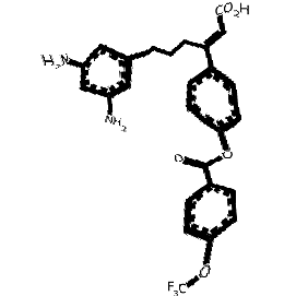 Nc1cc(N)cc(CCC/C(=C\C(=O)O)c2ccc(OC(=O)c3ccc(OC(F)(F)F)cc3)cc2)c1